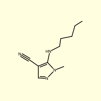 CCCCCNc1c(C#N)cnn1C